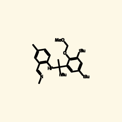 CCCCC(C)(Pc1ccc(C)cc1/C=N/C)c1cc(C(C)(C)C)cc(C(C)(C)C)c1OCOC